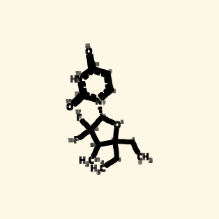 CCC1(CC)O[C@@H](n2ccc(=O)[nH]c2=O)C(F)(F)C1C